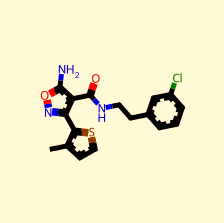 Cc1ccsc1-c1noc(N)c1C(=O)NCCc1cccc(Cl)c1